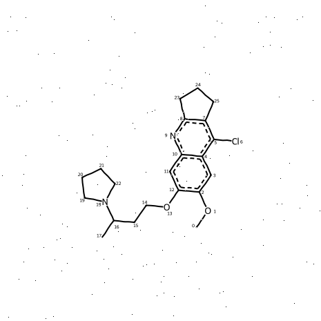 COc1cc2c(Cl)c3c(nc2cc1OCCC(C)N1CCCC1)CCC3